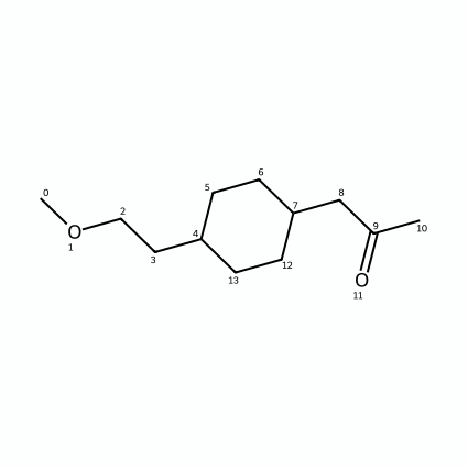 COCCC1CCC(CC(C)=O)CC1